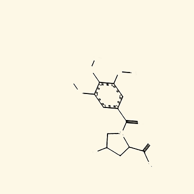 COc1cc(C(=O)N2CC(O)CC2C(N)=O)cc(OC)c1OC